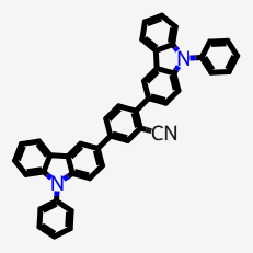 N#Cc1cc(-c2ccc3c(c2)c2ccccc2n3-c2ccccc2)ccc1-c1ccc2c(c1)c1ccccc1n2-c1ccccc1